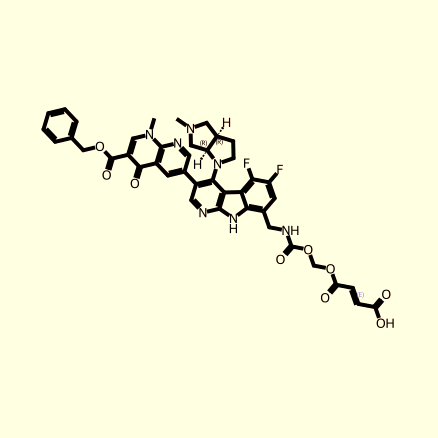 CN1C[C@H]2CCN(c3c(-c4cnc5c(c4)c(=O)c(C(=O)OCc4ccccc4)cn5C)cnc4[nH]c5c(CNC(=O)OCOC(=O)/C=C/C(=O)O)cc(F)c(F)c5c34)[C@H]2C1